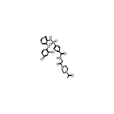 CC(=O)N1CCN(C(=O)CNC(=O)c2ccc(S(=O)(=O)Nc3ccccc3Oc3ccc(Cl)cc3Cl)cc2)CC1